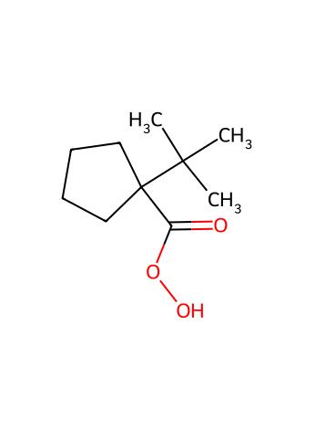 CC(C)(C)C1(C(=O)OO)CCCC1